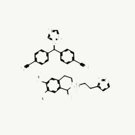 COc1cc2c(cc1OC)C(C)NCC2.N#Cc1ccc(C(c2ccc(C#N)cc2)n2cncn2)cc1.NCCc1cc[nH]n1